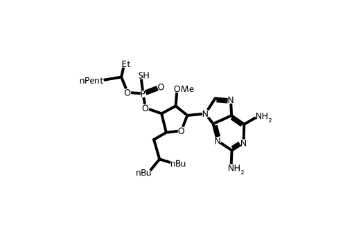 CCCCCC(CC)OP(=O)(S)OC1C(CC(CCCC)CCCC)OC(n2cnc3c(N)nc(N)nc32)C1OC